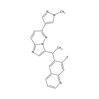 CC(c1cc2cccnc2cc1F)c1cnc2ccc(-c3cnn(C)c3)nn12